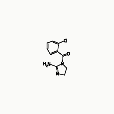 NC1=NCCN1C(=O)c1ccccc1Cl